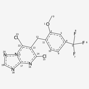 COc1cc(C(F)(F)F)ccc1Cc1c(Cl)nc2ncnn2c1Cl